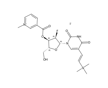 C[n+]1cccc(C(=O)O[C@H]2[C@@H](F)[C@H](n3cc(C=C[Si](C)(C)C)c(=O)[nH]c3=O)O[C@@H]2CO)c1.[I-]